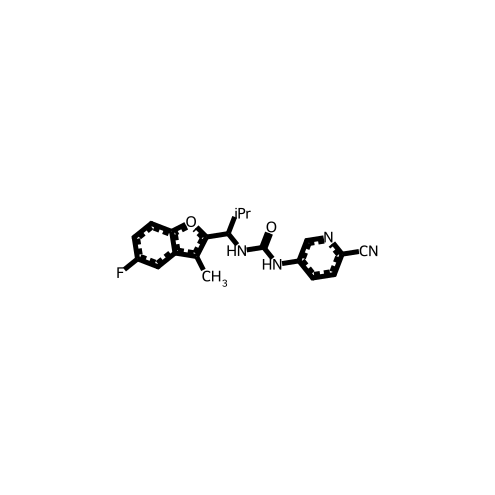 Cc1c(C(NC(=O)Nc2ccc(C#N)nc2)C(C)C)oc2ccc(F)cc12